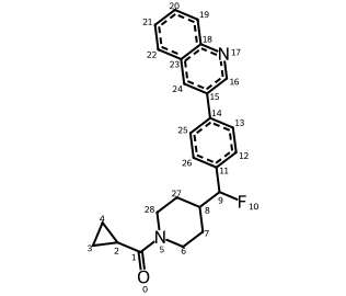 O=C(C1CC1)N1CCC(C(F)c2ccc(-c3cnc4ccccc4c3)cc2)CC1